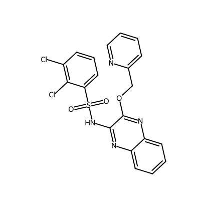 O=S(=O)(Nc1nc2ccccc2nc1OCc1ccccn1)c1cccc(Cl)c1Cl